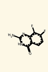 Nc1nc2c(F)c(F)ccc2c(=O)[nH]1